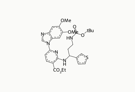 CCOC(=O)c1ccc(-n2cnc3cc(OC)c(OC)cc32)nc1NC(CCNC(=O)OC(C)(C)C)c1ccsc1